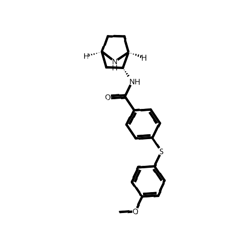 COc1ccc(Sc2ccc(C(=O)N[C@@H]3C[C@H]4CC[C@@H]3N4)cc2)cc1